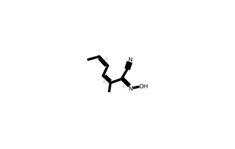 C\C=C/C=C(C)\C(C#N)=N\O